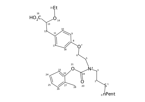 CCCCCSCCN(CCOc1ccc(CC(OCC)C(=O)O)cc1)C(=O)Oc1ccccc1C